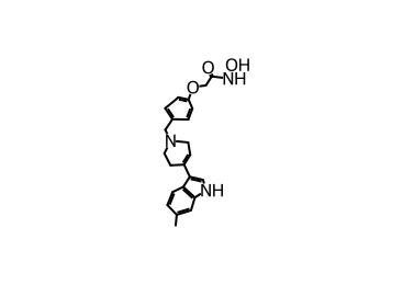 Cc1ccc2c(C3=CCN(Cc4ccc(OCC(=O)NO)cc4)CC3)c[nH]c2c1